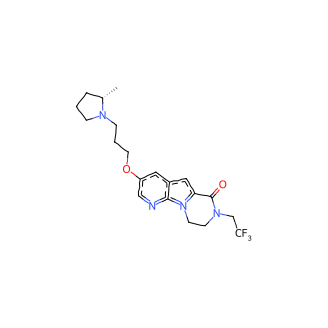 C[C@H]1CCCN1CCCOc1cnc2c(c1)cc1n2CCN(CC(F)(F)F)C1=O